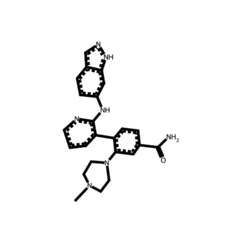 CN1CCN(c2cc(C(N)=O)ccc2-c2cccnc2Nc2ccc3cn[nH]c3c2)CC1